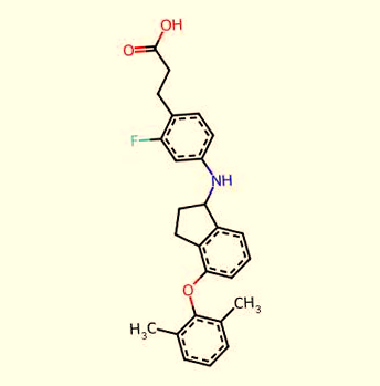 Cc1cccc(C)c1Oc1cccc2c1CCC2Nc1ccc(CCC(=O)O)c(F)c1